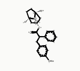 COc1ccc(CC(C(=O)O[C@@H]2C[C@H]3CC[C@@H](C2)N3C)c2ccccc2)cc1